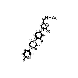 CC(=O)NCC1CN(c2ccc(N3CCN(c4ccc(C)nc4)CC3)c(F)c2)C(=O)O1